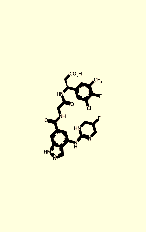 O=C(O)C[C@H](NC(=O)CNC(=O)c1cc(NC2=NCC(F)CN2)c2cn[nH]c2c1)c1cc(Cl)c(F)c(C(F)(F)F)c1